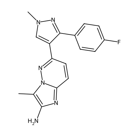 Cc1c(N)nc2ccc(-c3cn(C)nc3-c3ccc(F)cc3)nn12